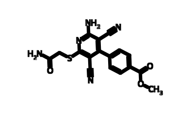 COC(=O)c1ccc(-c2c(C#N)c(N)nc(SCC(N)=O)c2C#N)cc1